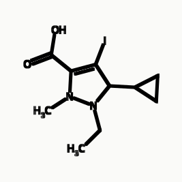 CCN1C(C2CC2)C(I)=C(C(=O)O)N1C